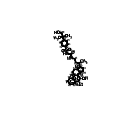 CC[C@H]1[C@@H](O)[C@@H]2[C@H](CC[C@]3(C)C([C@H](C)CCNC(=O)NS(=O)(=O)c4ccc(C(C)(C)CO)cc4)CC[C@@H]23)[C@@]2(C)CCCC[C@@H]12